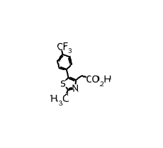 Cc1nc(CC(=O)O)c(-c2ccc(C(F)(F)F)cc2)s1